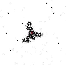 CC1(C)c2ccccc2-c2ccc(-c3ccc(N(c4ccc5c(c4)C(C)(C)c4ccccc4-5)c4cccc(-c5ccc6ccccc6c5)c4-c4ccccc4)cc3)cc21